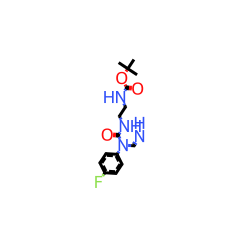 CC(C)(C)OC(=O)NCCNC(=O)N(C=N)c1ccc(F)cc1